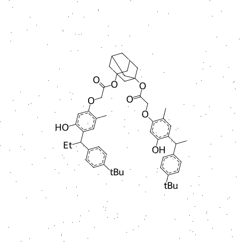 CCC(c1ccc(C(C)(C)C)cc1)c1cc(C)c(OCC(=O)OC23CC4CC(CC(OC(=O)COc5cc(O)c(C(C)c6ccc(C(C)(C)C)cc6)cc5C)(C4)C2)C3)cc1O